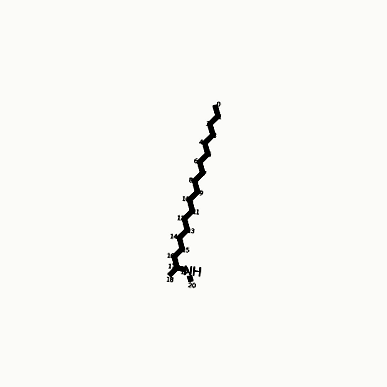 CCCCCCCCCCCCCCCCCC(C)NC